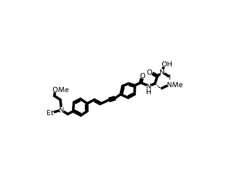 CCN(CCOC)Cc1ccc(C=CC#Cc2ccc(C(=O)N[C@@H](CNC)C(=O)N(O)I)cc2)cc1